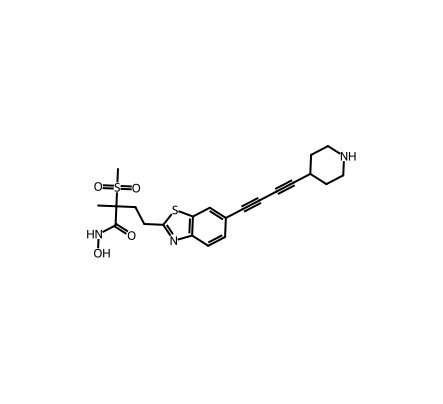 CC(CCc1nc2ccc(C#CC#CC3CCNCC3)cc2s1)(C(=O)NO)S(C)(=O)=O